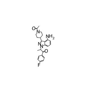 CC(=O)N1CCC(c2nn(C(C)C(=O)c3ccc(F)cc3)c3cccc(N)c23)CC1